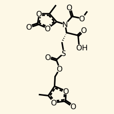 COC(=O)N(c1oc(=O)oc1C)[C@@H](CSC(=O)OCc1oc(=O)oc1C)C(=O)O